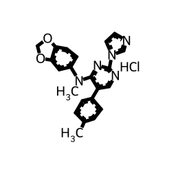 Cc1ccc(-c2cnc(-n3ccnc3)nc2N(C)c2ccc3c(c2)OCO3)cc1.Cl